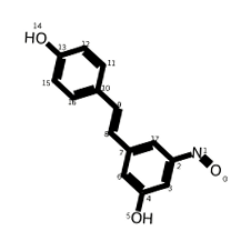 O=Nc1cc(O)cc(/C=C/c2ccc(O)cc2)c1